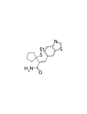 CCSC1(/C(=C\c2ccc3ncsc3c2)C(N)=O)CCCC1